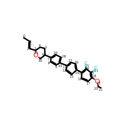 C/C=C/C1CCC(c2ccc(-c3ccc(-c4ccc(OCC)c(F)c4F)cc3)cc2)CO1